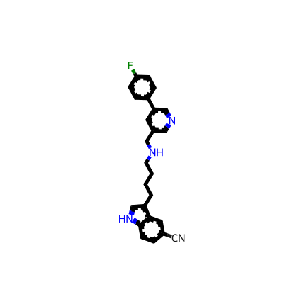 N#Cc1ccc2[nH]cc(CCCCNCc3cncc(-c4ccc(F)cc4)c3)c2c1